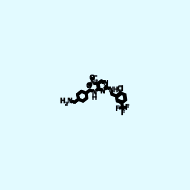 NCC1CCC(CNc2nc(NCc3cc(C(F)(F)F)ccc3Cl)ncc2[N+](=O)[O-])CC1